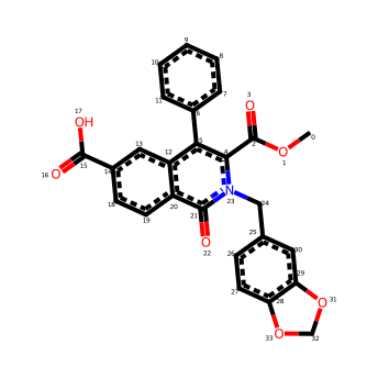 COC(=O)c1c(-c2ccccc2)c2cc(C(=O)O)ccc2c(=O)n1Cc1ccc2c(c1)OCO2